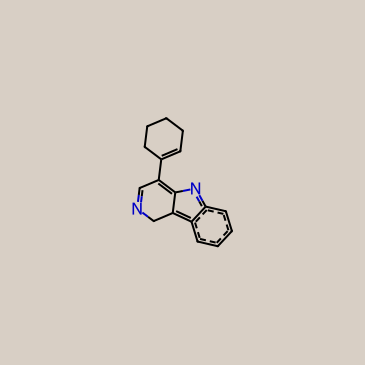 C1=NCC2=c3ccccc3=NC2=C1C1=CCCCC1